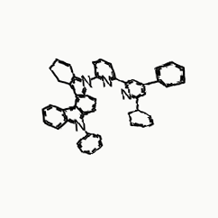 C1=CCC(c2cc(-c3ccccc3)cc(-c3cccc(-n4c5c(c6c7c8ccccc8n(-c8ccccc8)c7ccc64)CCC=C5)n3)n2)C=C1